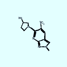 Cn1cc2cc([N+](=O)[O-])c(N3CCC(O)C3)nc2n1